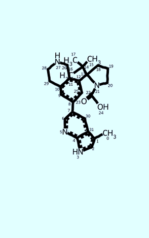 Cc1c[nH]c2ncc(-c3cc4c(c(C5(C(C)(C)C)CCCN5C(=O)O)c3)CNCC4)cc12